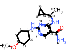 CO[C@H]1CC[C@H](Nc2ncc(C(N)=O)c(N[C@H](C)C3CC3)n2)CC1